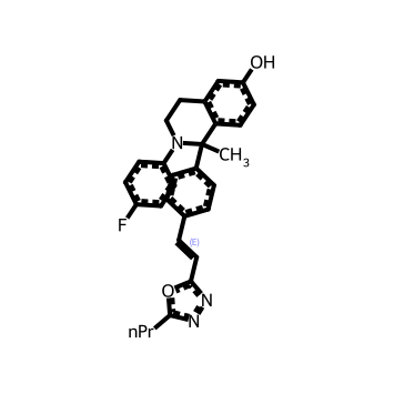 CCCc1nnc(/C=C/c2ccc(C3(C)c4ccc(O)cc4CCN3c3ccc(F)cc3)cc2)o1